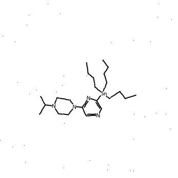 CCC[CH2][Sn]([CH2]CCC)([CH2]CCC)[c]1cncc(N2CCN(C(C)C)CC2)n1